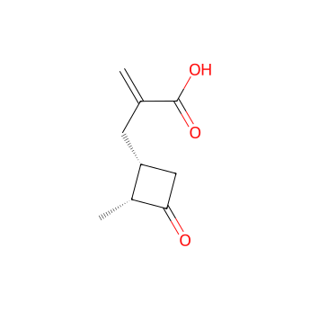 C=C(C[C@@H]1CC(=O)[C@@H]1C)C(=O)O